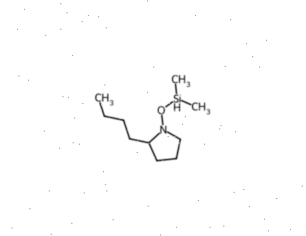 CCCCC1CCCN1O[SiH](C)C